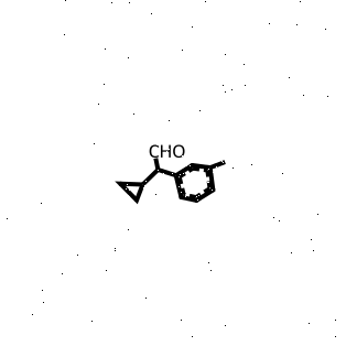 Cc1cccc(C(C=O)C2CC2)c1